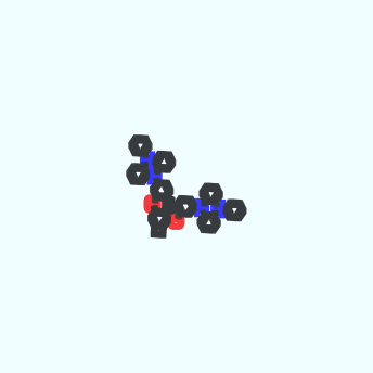 C1=CC(N2c3ccccc3N(c3ccccc3)c3ccccc32)CC2=C1B1C3=C(CC(N4c5ccccc5N(c5ccccc5)c5ccccc54)C=C3)Oc3c4c(cc(c31)O2)CC4